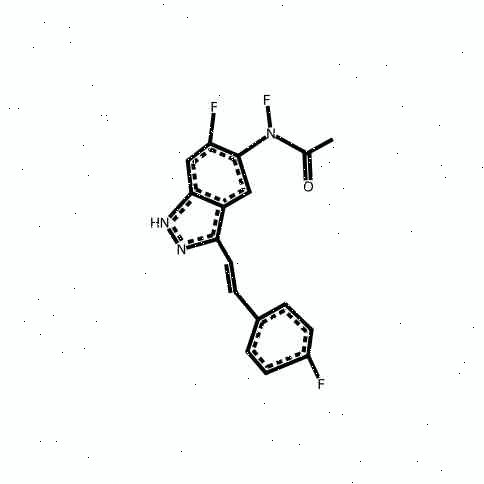 CC(=O)N(F)c1cc2c(/C=C/c3ccc(F)cc3)n[nH]c2cc1F